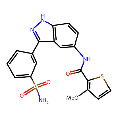 COc1ccsc1C(=O)Nc1ccc2[nH]nc(-c3cccc(S(N)(=O)=O)c3)c2c1